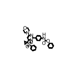 O=C(Nc1ccc(-c2nc(N3CCOCC3)cc(C3(S(=O)(=O)c4ccccc4)CC3)n2)cc1)Oc1ccccc1